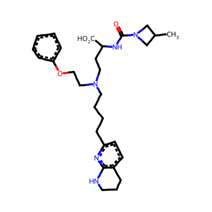 CC1CN(C(=O)NC(CCN(CCCCc2ccc3c(n2)NCCC3)CCOc2ccccc2)C(=O)O)C1